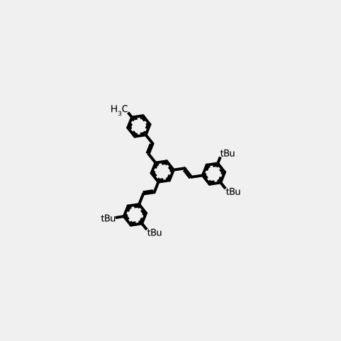 Cc1ccc(C=Cc2cc(C=Cc3cc(C(C)(C)C)cc(C(C)(C)C)c3)cc(C=Cc3cc(C(C)(C)C)cc(C(C)(C)C)c3)c2)cc1